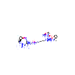 CC[C@H](NC(=O)[C@H]1C[C@@H](NCCCCCCCCC(=O)NCCn2nc3c(c2C#N)-c2cnc(N)c(n2)N2CCC[C@@H]2c2cc(F)ccc2C(=O)N(C)C3)CN1C(=O)C(NC(=O)[C@@H](C)NC)C(C)(C)C)c1ccccc1